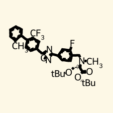 Cc1ccccc1-c1ccc(-c2nc(-c3ccc(CN(C)[C@@H](COC(C)(C)C)C(=O)OC(C)(C)C)c(F)c3)no2)cc1C(F)(F)F